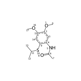 COc1cc(NC(C)=O)c(SC(C)C)cc1OC